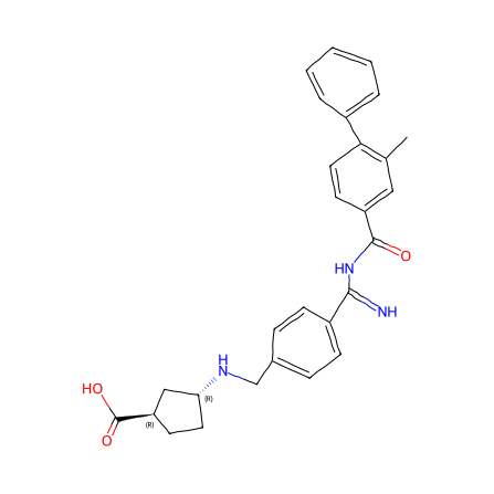 Cc1cc(C(=O)NC(=N)c2ccc(CN[C@@H]3CC[C@@H](C(=O)O)C3)cc2)ccc1-c1ccccc1